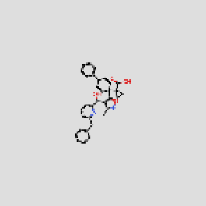 Cc1noc(C2(C3(C(=O)O)CC3)C=CC(c3ccccc3)C=C2)c1C(O)c1cccc(Cc2ccccc2)n1